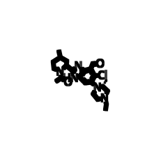 CCN1CCN(c2cc3[nH]c(C4CC(C)CCN4C(C)=O)nc3c(C=O)c2Cl)[C@H](C)C1